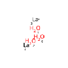 O.O.O.[La].[La]